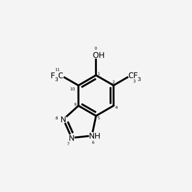 Oc1c(C(F)(F)F)cc2[nH]nnc2c1C(F)(F)F